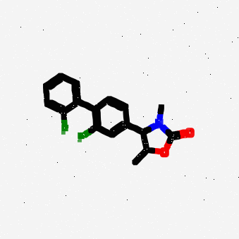 CC1OC(=O)N(C)C1c1ccc(-c2ccccc2F)c(F)c1